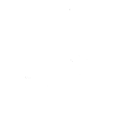 COc1ccc2c(c1OCc1ccccc1)CC(C(=O)O)N(C(=O)C(OC1CC(O)C1)c1ccccc1)C2